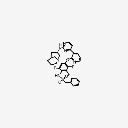 O=S(=O)(Cc1ccccc1)Nc1c(F)cc(Oc2ncccc2-c2ccnc(N[C@H]3CC4CCCN(C4)C3)n2)c(F)c1F